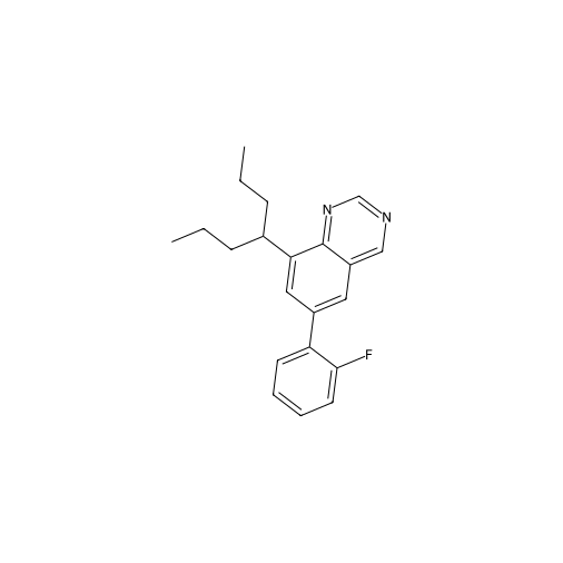 CCCC(CCC)c1cc(-c2ccccc2F)cc2cncnc12